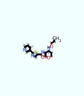 C=CCO/N=C1\CCOc2oc(-c3cnc(-c4cccnc4)s3)nc21